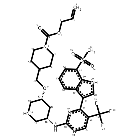 C=CCOC(=O)N1CCC(CO[C@H]2CNC[C@@H](Nc3ncc(C(F)(F)F)c(-c4c[nH]c5c(S(C)(=O)=O)cccc45)n3)C2)CC1